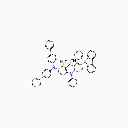 CC1(C)c2cc(N(c3ccc(-c4ccccc4)cc3)c3ccc(-c4ccccc4)cc3)ccc2N(c2ccccc2)c2ccc(C3(c4ccccc4)c4ccccc4-c4ccccc43)cc21